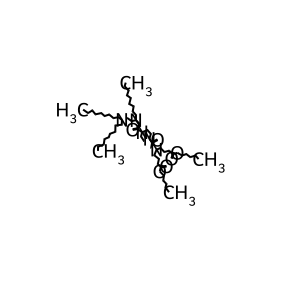 CCCCCCCCCN(CCCCCCCCC)CCN(CCCCCCCCC)CC(=O)N1CCN(C(=O)CN(CCCC(=O)OCCCCC)CCCC(=O)OCCCCC)CC1